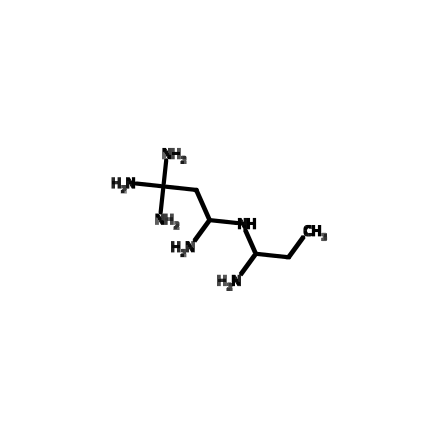 CCC(N)NC(N)CC(N)(N)N